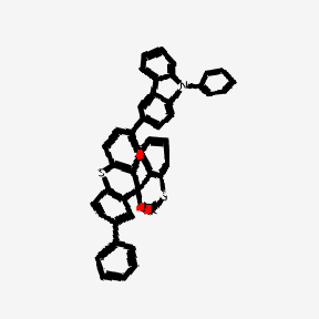 c1ccc(-c2ccc3c(c2)C2(c4ccccc4Sc4ccccc42)c2cc(-c4ccc5c(c4)c4ccccc4n5-c4ccccc4)ccc2S3)cc1